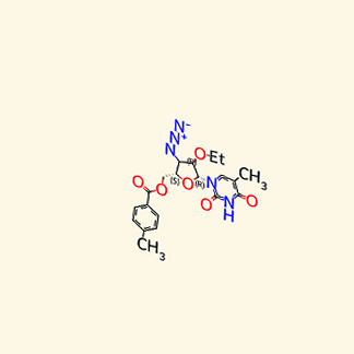 CCO[C@@H]1C(N=[N+]=[N-])[C@@H](COC(=O)c2ccc(C)cc2)O[C@H]1n1cc(C)c(=O)[nH]c1=O